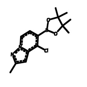 Cc1cc2c(Cl)c(B3OC(C)(C)C(C)(C)O3)ccn2n1